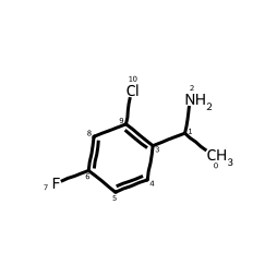 CC(N)c1ccc(F)cc1Cl